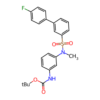 CN(c1cccc(NC(=O)OC(C)(C)C)c1)S(=O)(=O)c1cccc(-c2ccc(F)cc2)c1